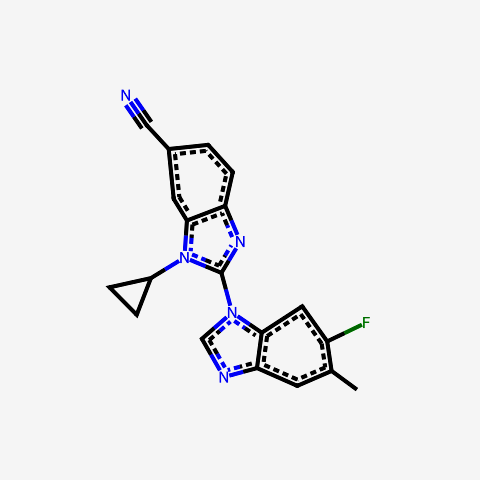 Cc1cc2ncn(-c3nc4ccc(C#N)cc4n3C3CC3)c2cc1F